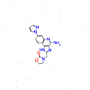 Nc1nc2cc(-n3cccn3)ccc2c2[nH]c(CN3CCOC3=O)nc12